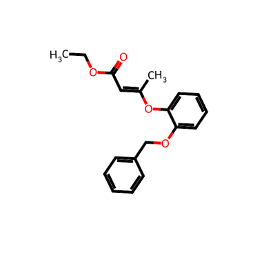 CCOC(=O)/C=C(\C)Oc1ccccc1OCc1ccccc1